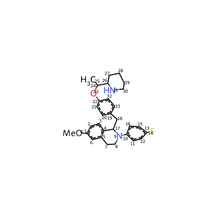 COc1ccc2c(c1)CCN(c1ccc(F)cc1)C2Cc1ccc(OC(C)C2CCCCN2)cc1